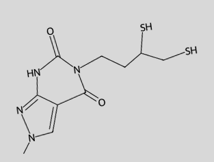 Cn1cc2c(=O)n(CCC(S)CS)c(=O)[nH]c2n1